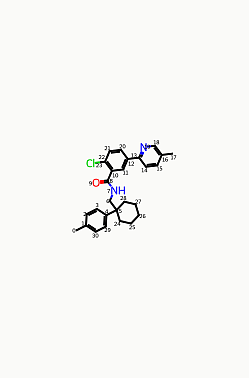 Cc1ccc(C2(CNC(=O)c3cc(-c4ccc(C)cn4)ccc3Cl)CCCCC2)cc1